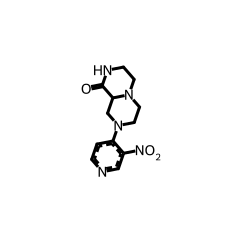 O=C1NCCN2CCN(c3ccncc3[N+](=O)[O-])CC12